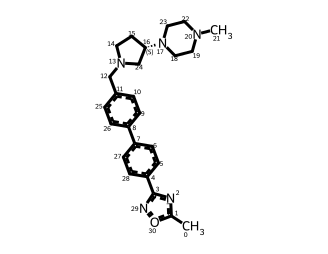 Cc1nc(-c2ccc(-c3ccc(CN4CC[C@H](N5CCN(C)CC5)C4)cc3)cc2)no1